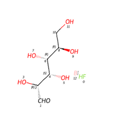 F.O=C[C@H](O)[C@@H](O)[C@H](O)[C@H](O)CO.[B]